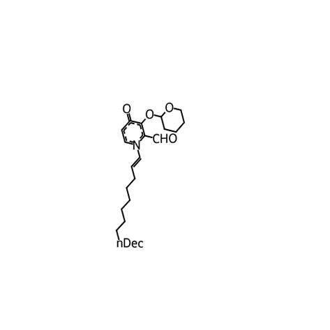 CCCCCCCCCCCCCCCCC=Cn1ccc(=O)c(OC2CCCCO2)c1C=O